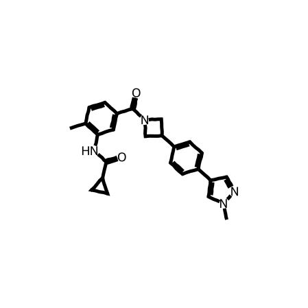 Cc1ccc(C(=O)N2CC(c3ccc(-c4cnn(C)c4)cc3)C2)cc1NC(=O)C1CC1